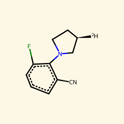 [2H][C@@H]1CCN(c2c(F)cccc2C#N)C1